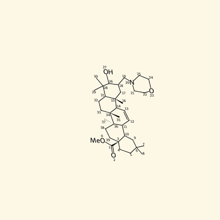 COC(=O)[C@]12CCC(C)(C)CC1C1C=CC3[C@@]4(C)CC(CN5CCOCC5)C(O)C(C)(C)C4CC[C@@]3(C)[C@]1(C)CC2